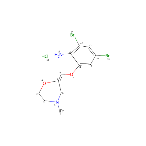 CC(C)N1CCOC(=COc2cc(Br)cc(Br)c2N)C1.Cl